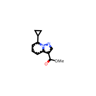 COC(=O)c1cnn2c(C3CC3)cccc12